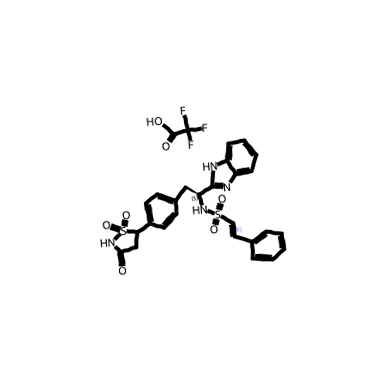 O=C(O)C(F)(F)F.O=C1CC(c2ccc(C[C@H](NS(=O)(=O)/C=C/c3ccccc3)c3nc4ccccc4[nH]3)cc2)S(=O)(=O)N1